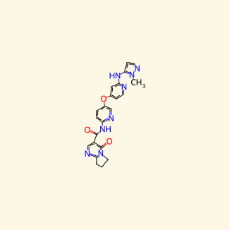 Cn1nccc1Nc1cc(Oc2ccc(NC(=O)c3cnc4n(c3=O)CCC4)nc2)ccn1